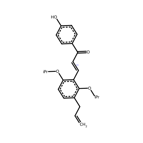 C=CCc1ccc(OC(C)C)c(/C=C/C(=O)c2ccc(O)cc2)c1OC(C)C